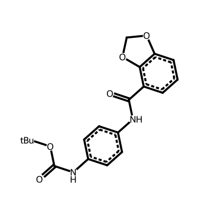 CC(C)(C)OC(=O)Nc1ccc(NC(=O)c2cccc3c2OCO3)cc1